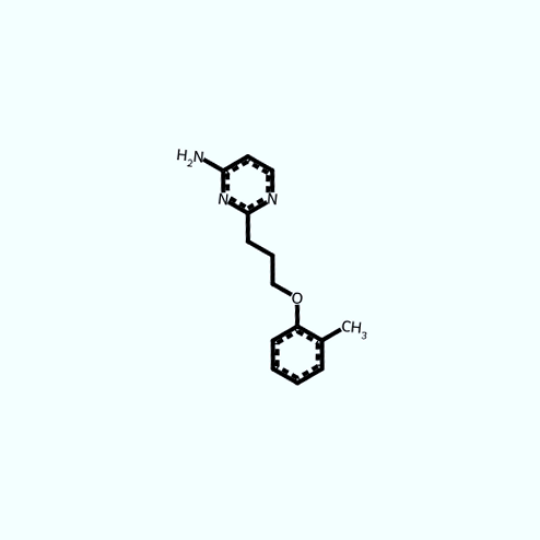 Cc1ccccc1OCCCc1nccc(N)n1